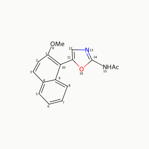 COc1ccc2ccccc2c1-c1cnc(NC(C)=O)o1